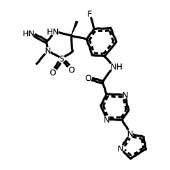 CN1C(=N)N[C@](C)(c2cc(NC(=O)c3cnc(-n4cccn4)cn3)ccc2F)CS1(=O)=O